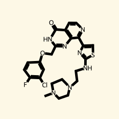 CN1CCN(CCNc2nc(-c3nccc4c(=O)[nH]c(COc5ccc(F)c(Cl)c5)nc34)cs2)CC1